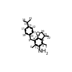 Cc1c(N)c(C)c2c(c1Cc1ccc(C(C)C)cc1)OCC2C